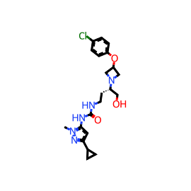 Cn1nc(C2CC2)cc1NC(=O)NCC[C@@H](CO)N1CC(Oc2ccc(Cl)cc2)C1